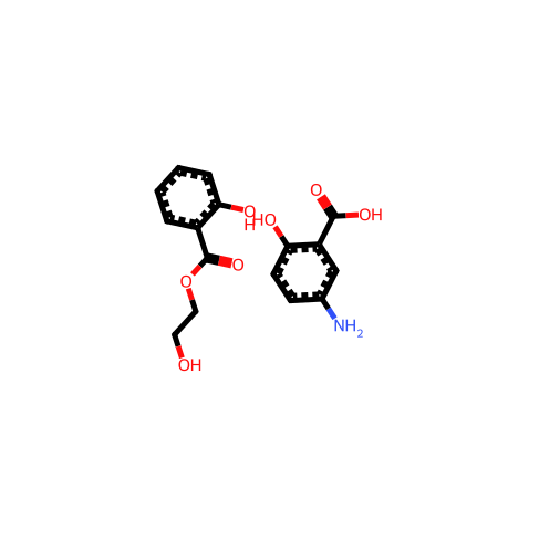 Nc1ccc(O)c(C(=O)O)c1.O=C(OCCO)c1ccccc1O